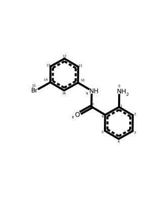 Nc1ccccc1C(=O)Nc1cccc(Br)c1